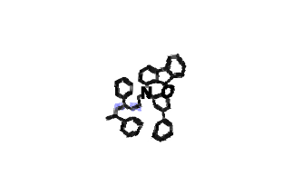 C=C(/C=C(\C=C/CN(c1cccc(-c2ccccc2)c1)c1cccc2c1C(=O)c1ccccc1-2)c1ccccc1)c1ccccc1